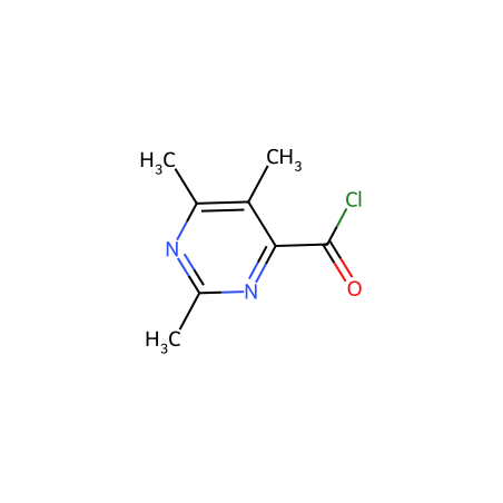 Cc1nc(C)c(C)c(C(=O)Cl)n1